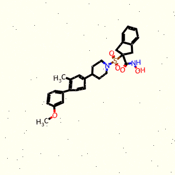 COc1cccc(-c2ccc(C3CCN(S(=O)(=O)C4(C(=O)NO)Cc5ccccc5C4)CC3)cc2C)c1